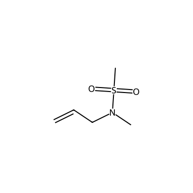 C=CCN(C)S(C)(=O)=O